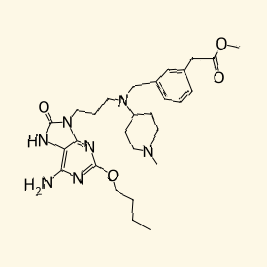 CCCCOc1nc(N)c2[nH]c(=O)n(CCCN(Cc3cccc(CC(=O)OC)c3)C3CCN(C)CC3)c2n1